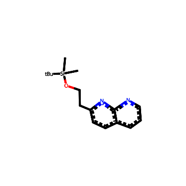 CC(C)(C)[Si](C)(C)OCCc1ccc2cccnc2n1